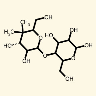 CC1(C)C(CO)OC(OC2C(CO)OC(O)C(O)C2O)C(O)[C@@H]1O